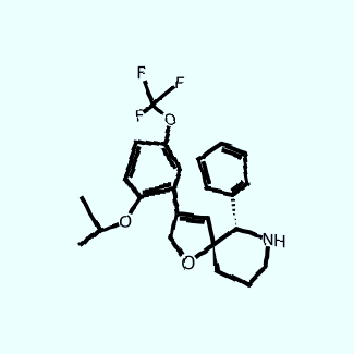 CC(C)Oc1ccc(OC(F)(F)F)cc1C1=C[C@@]2(CCCN[C@H]2c2ccccc2)OC1